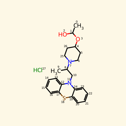 CC(O)OC1CCN(C(C)CN2c3ccccc3Sc3ccccc32)CC1.Cl